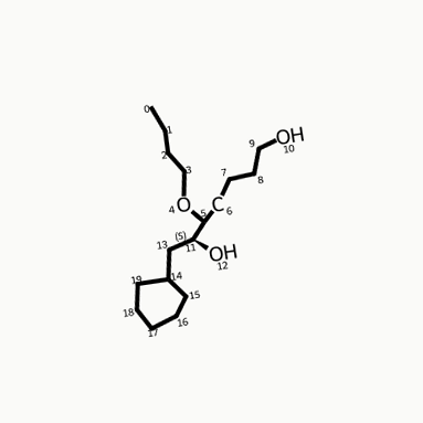 CCCCOC(CCCCO)[C@@H](O)CC1CCCCC1